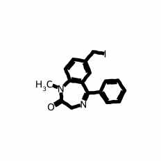 CN1C(=O)CN=C(c2ccccc2)c2cc(CI)ccc21